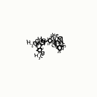 COc1ccc2c(c1)C(=CC(=O)c1ccc(NC(=O)c3c(-c4c(F)cccc4Cl)noc3C)cc1)NC(C)(C)C2